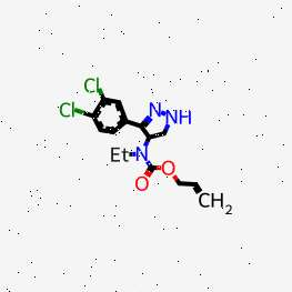 C=CCOC(=O)N(CC)C1CNN=C1c1ccc(Cl)c(Cl)c1